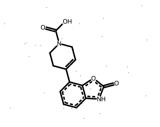 O=C(O)N1CC=C(c2cccc3[nH]c(=O)oc23)CC1